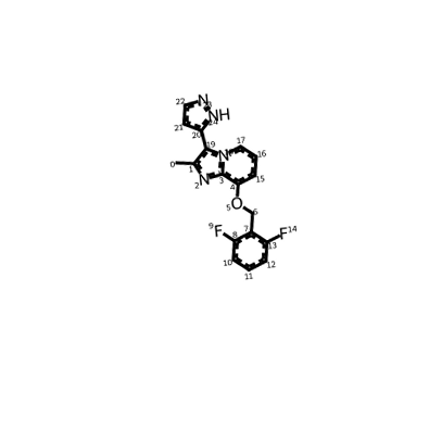 Cc1nc2c(OCc3c(F)cccc3F)cccn2c1-c1ccn[nH]1